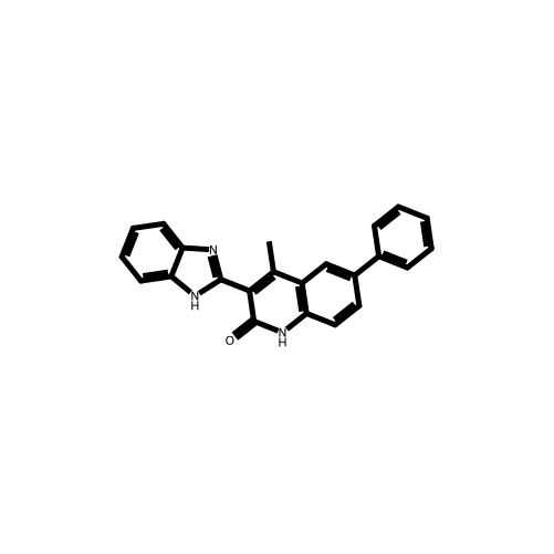 Cc1c(-c2nc3ccccc3[nH]2)c(=O)[nH]c2ccc(-c3ccccc3)cc12